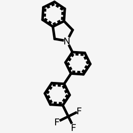 FC(F)(F)c1cccc(-c2cccc(N3Cc4ccccc4C3)c2)c1